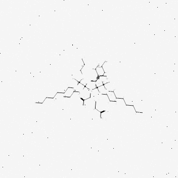 CCCCCCCOC(C)(OCCC)C(OCCC)(OCCC)N([C@@H](CCC(=O)O)C(=O)O)C(OCCC)(OCCC)C(C)(OCCC)OCCCCCCC